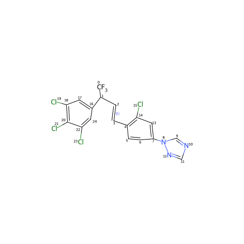 FC(F)(F)C(/C=C/c1ccc(-n2cncn2)cc1Cl)c1cc(Cl)c(Cl)c(Cl)c1